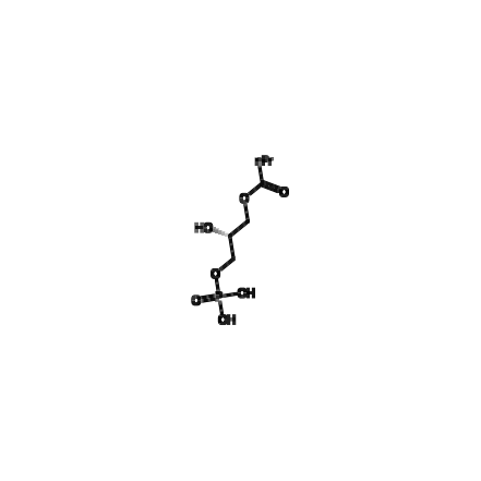 CCCC(=O)OC[C@@H](O)COP(=O)(O)O